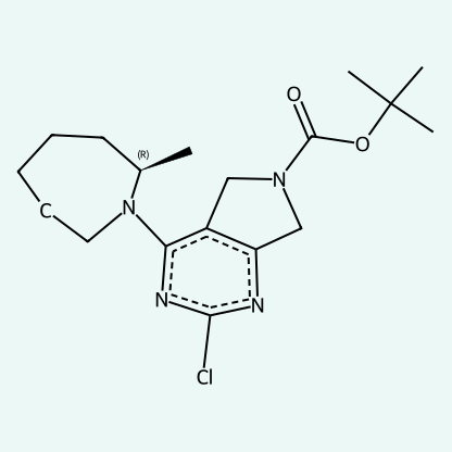 C[C@@H]1CCCCCN1c1nc(Cl)nc2c1CN(C(=O)OC(C)(C)C)C2